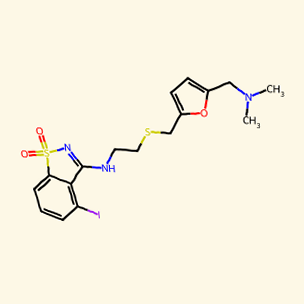 CN(C)Cc1ccc(CSCCNC2=NS(=O)(=O)c3cccc(I)c32)o1